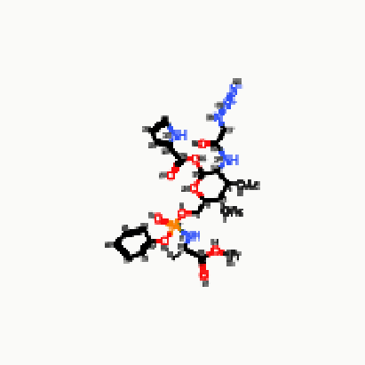 CC(=O)O[C@H]1[C@H](OC(C)=O)[C@@H](COP(=O)(N[C@@H](C)C(=O)OC(C)C)Oc2ccccc2)OC(OC(=O)c2ccc[nH]2)[C@H]1NC(=O)CN=[N+]=[N-]